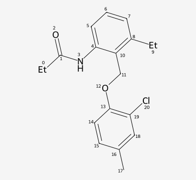 CCC(=O)Nc1cccc(CC)c1COc1ccc(C)cc1Cl